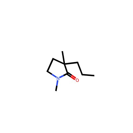 CCCC1(C)CCN(C)C1=O